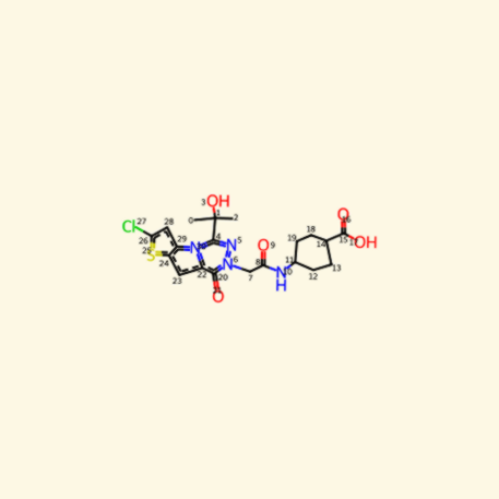 CC(C)(O)c1nn(CC(=O)NC2CCC(C(=O)O)CC2)c(=O)c2cc3sc(Cl)cc3n12